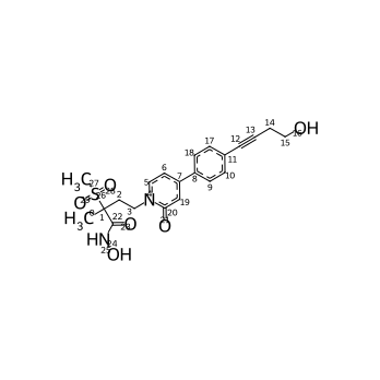 CC(CCn1ccc(-c2ccc(C#CCCO)cc2)cc1=O)(C(=O)NO)S(C)(=O)=O